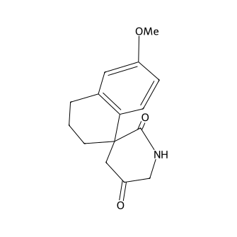 COc1ccc2c(c1)CCCC21CC(=O)CNC1=O